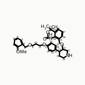 COc1ccccc1COCCCOc1ccc(C2CCNCC2OCc2cccc3c2NC(=O)OC3(C)C)cc1